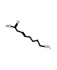 CCCCCC=CCC(=O)O